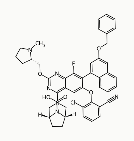 CN1CCC[C@H]1COc1nc(N2C[C@H]3CC[C@@H](C2)N3C(=O)O)c2cc(Oc3c(Cl)cccc3C#N)c(-c3cc(OCc4ccccc4)cc4ccccc34)c(F)c2n1